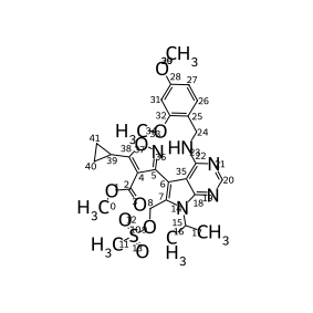 COC(=O)c1c(-c2c(COS(C)(=O)=O)n(C(C)C)c3ncnc(NCc4ccc(OC)cc4OC)c23)noc1C1CC1